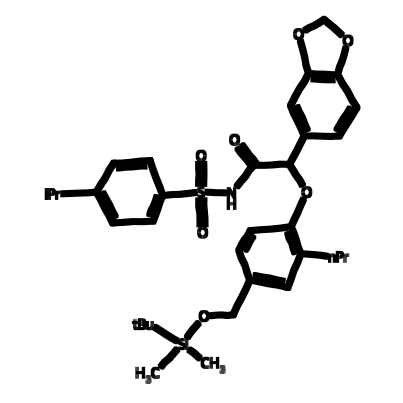 CCCc1cc(CO[Si](C)(C)C(C)(C)C)ccc1OC(C(=O)NS(=O)(=O)c1ccc(C(C)C)cc1)c1ccc2c(c1)OCO2